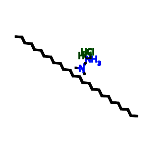 CCCCCCCCCCCCCCCCCCCCCCCCCC.CN(C)C.Cl.Cl.N